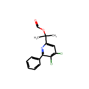 CC(C)(OC=O)c1cc(Cl)c(Cl)c(-c2ccccc2)n1